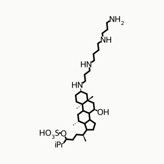 CC(C)C(CC[C@H](C)C1CCC2C1[C@H](C)CC1C2[C@H](O)C[C@@]2(C)C[C@@H](NCCCNCCCCNCCCN)CC[C@]12C)OS(=O)(=O)O